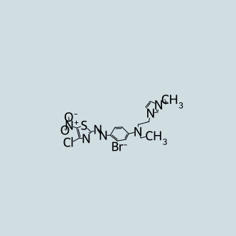 CCN(CCn1cc[n+](C)c1)c1ccc(N=Nc2nc(Cl)c([N+](=O)[O-])s2)cc1.[Br-]